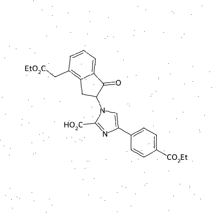 CCOC(=O)Cc1cccc2c1CC(n1cc(-c3ccc(C(=O)OCC)cc3)nc1C(=O)O)C2=O